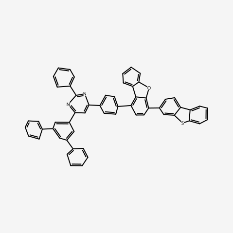 c1ccc(-c2cc(-c3ccccc3)cc(-c3cc(-c4ccc(-c5ccc(-c6ccc7c(c6)sc6ccccc67)c6oc7ccccc7c56)cc4)nc(-c4ccccc4)n3)c2)cc1